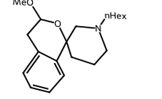 CCCCCCN1CCCC2(C1)OC(OC)Cc1ccccc12